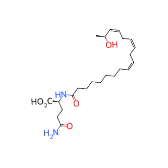 C[C@H](O)/C=C\C/C=C\C/C=C\CCCCCCCC(=O)N[C@@H](CCC(N)=O)C(=O)O